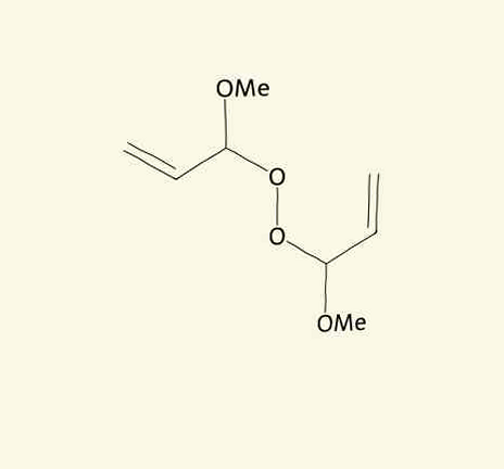 C=CC(OC)OOC(C=C)OC